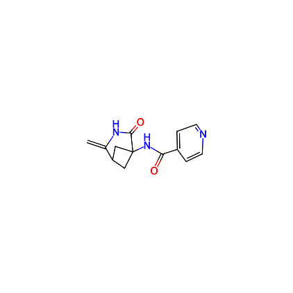 C=C1NC(=O)C2(NC(=O)c3ccncc3)CC1C2